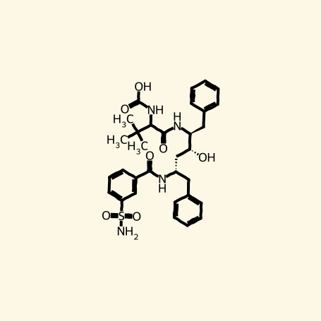 CC(C)(C)C(NC(=O)O)C(=O)N[C@@H](Cc1ccccc1)[C@H](O)C[C@H](Cc1ccccc1)NC(=O)c1cccc(S(N)(=O)=O)c1